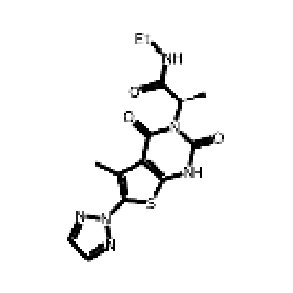 CCNC(=O)[C@@H](C)n1c(=O)[nH]c2sc(-n3nccn3)c(C)c2c1=O